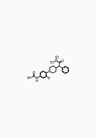 CCN(CC)C(=O)C(c1ccccc1)C1CCN(c2ccc(NC(=O)C(C)C)cc2F)CC1